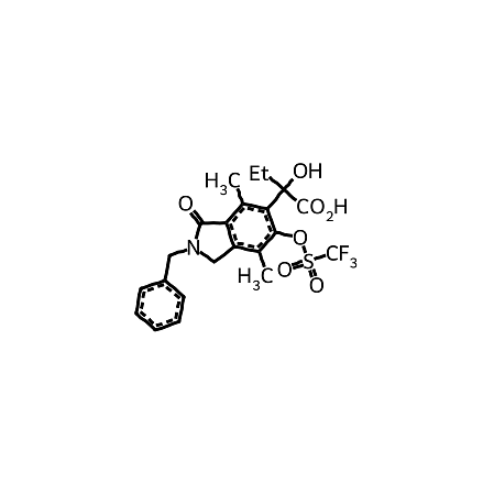 CCC(O)(C(=O)O)c1c(C)c2c(c(C)c1OS(=O)(=O)C(F)(F)F)CN(Cc1ccccc1)C2=O